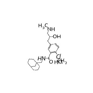 CNC[C@@H](O)Cc1ccc(Cl)c(C(=O)NCC23CCCC(CCC2)C3)c1.Cl.[CH2]